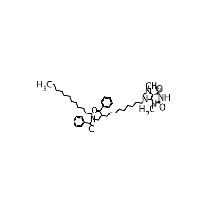 CCCCCCCCCCCCN(CC(CCCCCCCCCN1CN(C)c2c1n(C)c(=O)[nH]c2=O)C(=O)c1ccccc1)C(=O)c1ccccc1